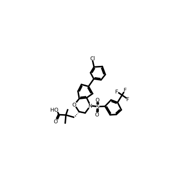 CC(C)(C[C@H]1CN(S(=O)(=O)c2cccc(C(F)(F)F)c2)c2cc(-c3cccc(Cl)c3)ccc2O1)C(=O)O